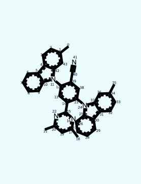 Cc1ccc2c3ccccc3n(-c3cc(-c4nc(C)cc(C)n4)c(-n4c5ccccc5c5ccc(C)cc54)cc3C#N)c2c1